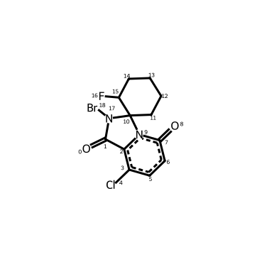 O=C1c2c(Cl)ccc(=O)n2C2(CCCCC2F)N1Br